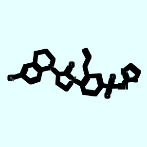 C=CCc1cc(S(=O)(=O)Nc2nccs2)ccc1N1CCC(N2CCCc3cc(Cl)ccc32)C1=O